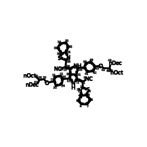 [C-]#[N+]/C(c1nc2ccccc2s1)=c1/[nH]c(-c2ccc(OCC(CCCCCCCC)CCCCCCCCCC)cc2)c2/c(=C(\C#N)c3nc4ccccc4s3)[nH]c(-c3ccc(OCC(CCCCCCCC)CCCCCCCCCC)cc3)c12